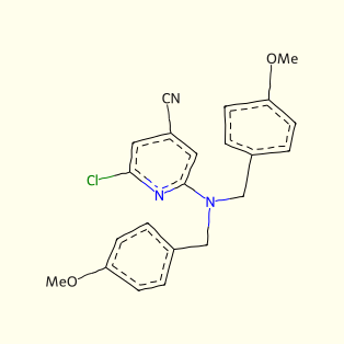 COc1ccc(CN(Cc2ccc(OC)cc2)c2cc(C#N)cc(Cl)n2)cc1